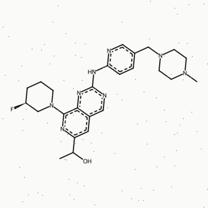 CC(O)c1cc2cnc(Nc3ccc(CN4CCN(C)CC4)cn3)nc2c(N2CCC[C@H](F)C2)n1